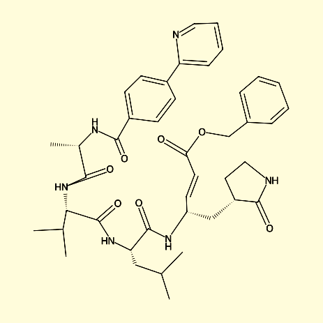 CC(C)C[C@H](NC(=O)[C@@H](NC(=O)[C@H](C)NC(=O)c1ccc(-c2ccccn2)cc1)C(C)C)C(=O)N[C@H](/C=C/C(=O)OCc1ccccc1)C[C@@H]1CCNC1=O